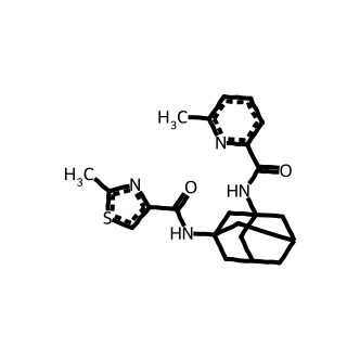 Cc1cccc(C(=O)NC23CC4CC(C2)CC(NC(=O)c2csc(C)n2)(C4)C3)n1